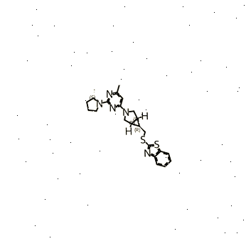 Cc1cc(N2C[C@@H]3[C@@H](CSc4nc5ccccc5s4)[C@@H]3C2)nc(N2CCC[C@@H]2C)n1